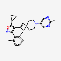 Cc1ncc(N2CCC3(C=C(c4c(-c5c(C)cccc5C)noc4C4CC4)C3)CC2)cn1